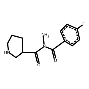 NN(C(=O)c1ccc(F)cc1)C(=O)C1CCCNC1